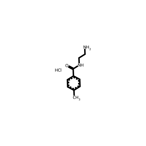 Cc1ccc(C(=O)NCCN)cc1.Cl